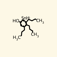 CCCCc1cc(O)[c]([SnH])c(CCCC)c1CCCC